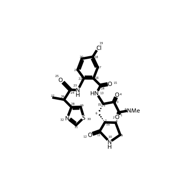 CNC(=O)C(=O)[C@H](C[C@@H]1CCNC1=O)NC(=O)c1cc(Cl)ccc1NC(=O)C(C)c1cscn1